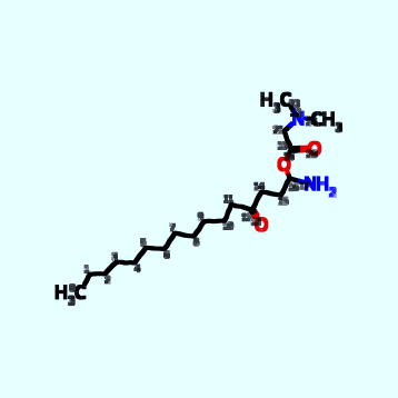 CCCCCCCCCCCCC(=O)CCC(N)OC(=O)CN(C)C